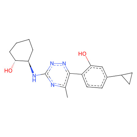 Cc1nc(N[C@@H]2CCCC[C@H]2O)nnc1-c1ccc(C2CC2)cc1O